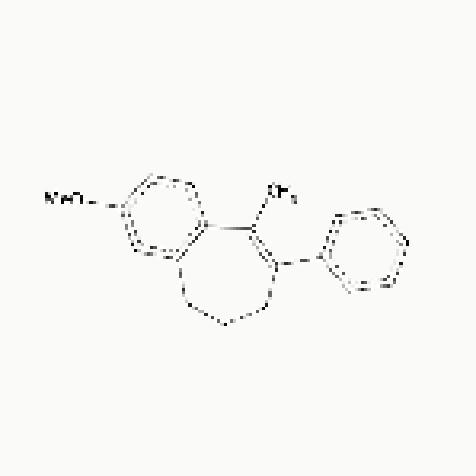 COc1ccc2c(c1)CCCC(c1ccccc1)=C2C